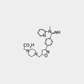 CN(C(=N)c1ccc(C2=NOC(CN3CCN(CC(=O)O)CC3)C2)cc1)c1ccccn1